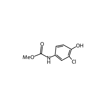 COC(=O)Nc1ccc(O)c(Cl)c1